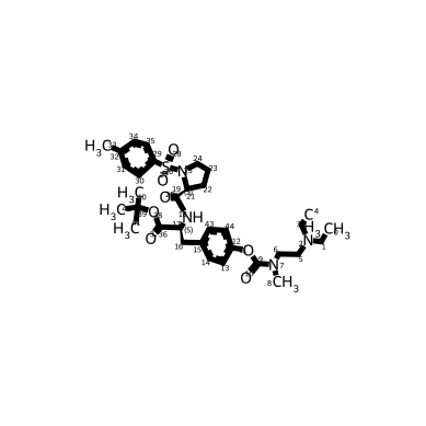 CCN(CC)CCN(C)C(=O)Oc1ccc(C[C@H](NC(=O)[C@@H]2CCCN2S(=O)(=O)c2ccc(C)cc2)C(=O)OC(C)(C)C)cc1